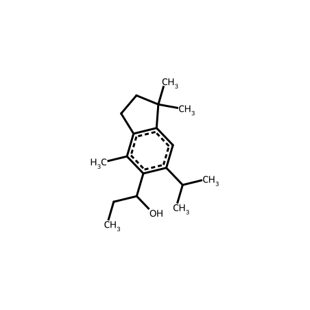 CCC(O)c1c(C(C)C)cc2c(c1C)CCC2(C)C